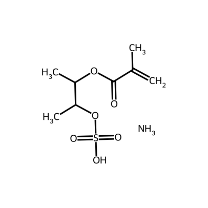 C=C(C)C(=O)OC(C)C(C)OS(=O)(=O)O.N